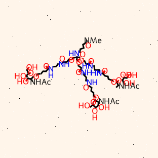 CNC(=O)CCCC(=O)NC(COCCC(=O)NCCCNC(=O)CCCCOC1OC(CO)C(O)C(O)C1NC(C)=O)(COCCC(=O)NCCCNC(=O)CCCCO[C@H](OC(CO)[C@H](O)CO)[C@H](C)NC(C)=O)COCCC(=O)NCCCNC(=O)CCCCO[C@@H]1OC(CO)[C@H](O)C(O)[C@@H]1NC(C)=O